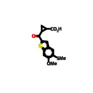 COc1cc2sc(C(=O)C3CC3C(=O)O)cc2cc1SC